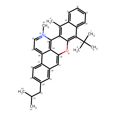 Cc1c2c(c(C(C)(C)C)c3ccccc13)Oc1cc3cc(CC(C)C)ccc3c3cc[n+](C)c-2c13